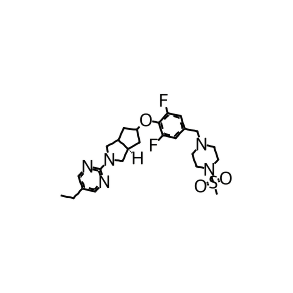 CCc1cnc(N2CC3CC(Oc4c(F)cc(CN5CCN(S(C)(=O)=O)CC5)cc4F)C[C@H]3C2)nc1